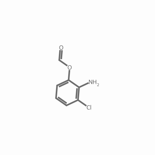 Nc1c(Cl)cccc1OC=O